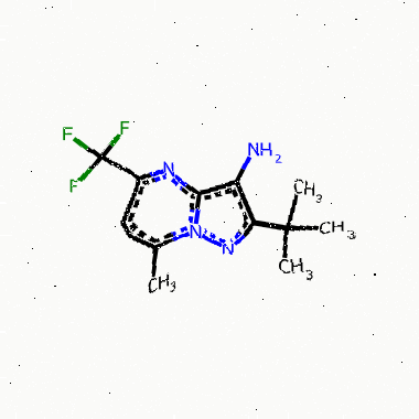 Cc1cc(C(F)(F)F)nc2c(N)c(C(C)(C)C)nn12